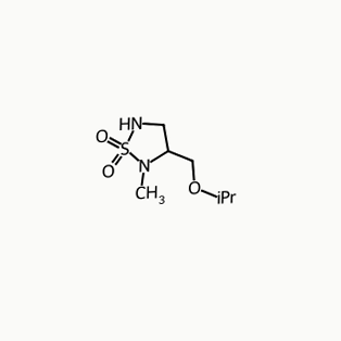 CC(C)OCC1CNS(=O)(=O)N1C